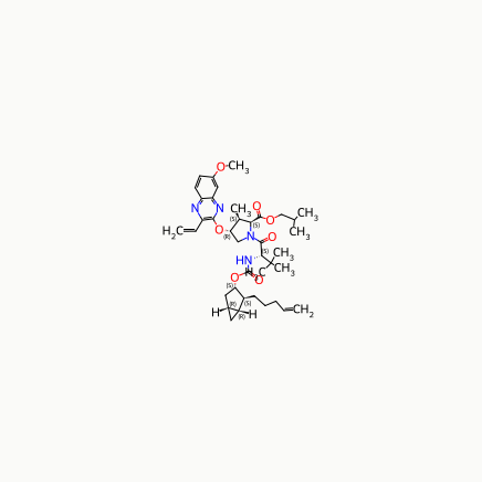 C=CCCC[C@H]1[C@@H]2C[C@@H]2C[C@@H]1OC(=O)N[C@H](C(=O)N1C[C@H](Oc2nc3cc(OC)ccc3nc2C=C)[C@@H](C)[C@H]1C(=O)OCC(C)C)C(C)(C)C